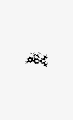 CO[C@@H](C)C[C@H]1c2[nH]c3ccc(Cl)cc3c2CCN1c1nc(C(F)(F)F)nc(C(F)(F)F)n1